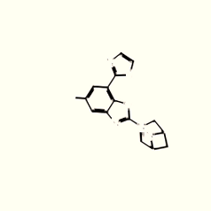 FC(F)(F)c1cc(-c2nccs2)c2oc(N3CC4CC(C3)N4)nc2c1